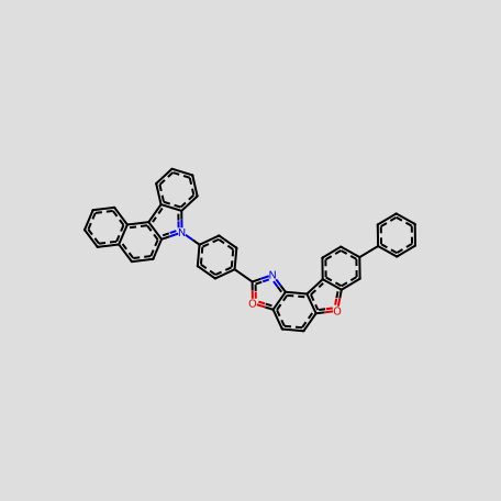 c1ccc(-c2ccc3c(c2)oc2ccc4oc(-c5ccc(-n6c7ccccc7c7c8ccccc8ccc76)cc5)nc4c23)cc1